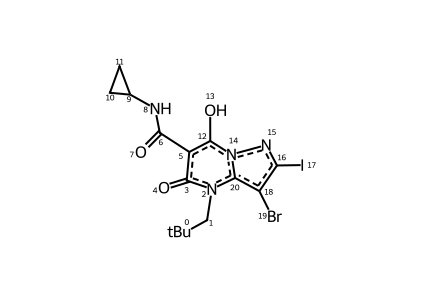 CC(C)(C)Cn1c(=O)c(C(=O)NC2CC2)c(O)n2nc(I)c(Br)c12